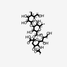 CC(=O)NC1C(O)CC(OCC2OC(C)C(N)C(OC3OC(CO)C(C)C(O)C3O)C2O)(C(=O)O)OC1[C@H](O)C(O)CO